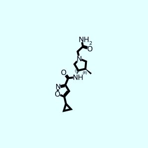 C[C@@H]1CN(CC(N)=O)C[C@H]1NC(=O)c1cc(C2CC2)on1